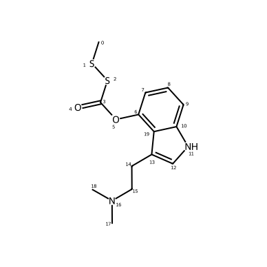 CSSC(=O)Oc1cccc2[nH]cc(CCN(C)C)c12